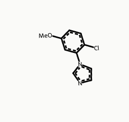 COc1ccc(Cl)c(-n2ccnc2)c1